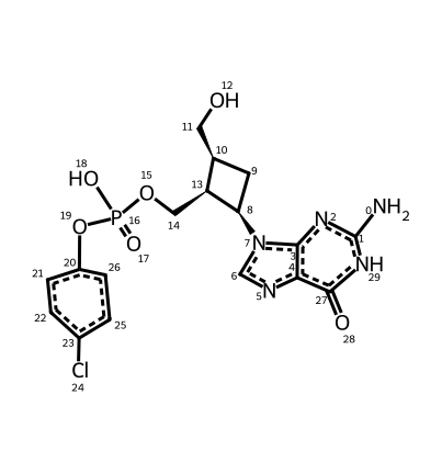 Nc1nc2c(ncn2[C@@H]2C[C@H](CO)[C@@H]2COP(=O)(O)Oc2ccc(Cl)cc2)c(=O)[nH]1